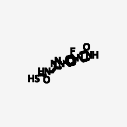 O=C(CS)NCC1CN(c2ccc(N3CCNC(=O)C3)c(F)c2)N=N1